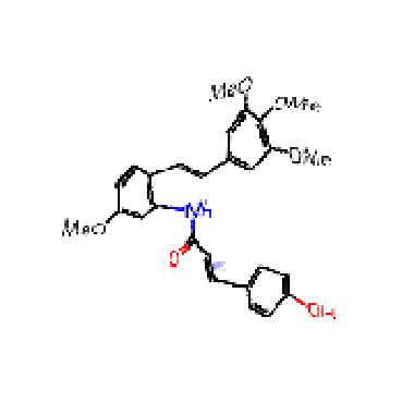 COc1ccc(C=Cc2cc(OC)c(OC)c(OC)c2)c(NC(=O)/C=C/c2ccc(O)cc2)c1